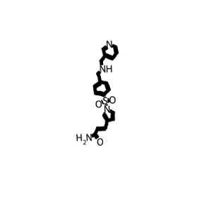 NC(=O)C=Cc1ccn(S(=O)(=O)c2ccc(CNCc3cccnc3)cc2)c1